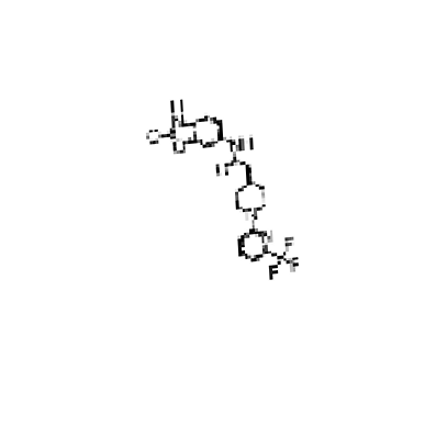 O=C(C=C1CCN(c2cccc(C(F)(F)F)n2)CC1)Nc1ccc2[nH]c(=O)oc2c1